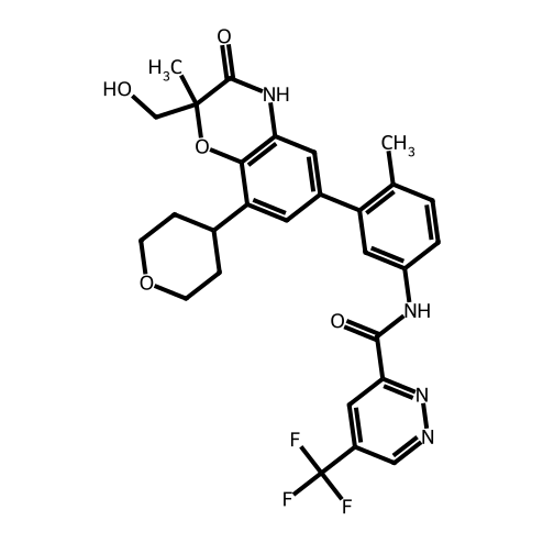 Cc1ccc(NC(=O)c2cc(C(F)(F)F)cnn2)cc1-c1cc2c(c(C3CCOCC3)c1)OC(C)(CO)C(=O)N2